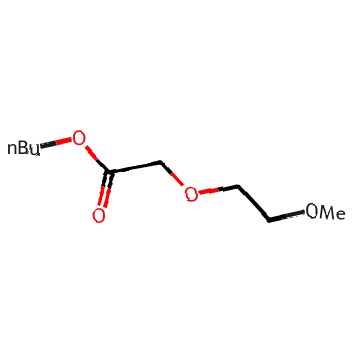 CCCCOC(=O)COCCOC